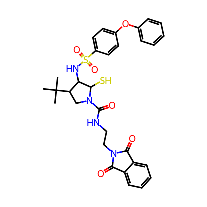 CC(C)(C)C1CN(C(=O)NCCN2C(=O)c3ccccc3C2=O)C(S)C1NS(=O)(=O)c1ccc(Oc2ccccc2)cc1